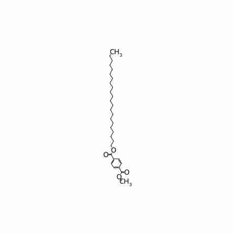 CCCCCCCCCCCCCCCCCCCCCCOC(=O)c1ccc(C(=O)OC)cc1